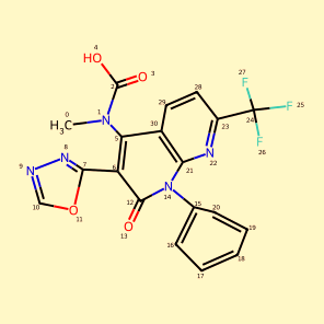 CN(C(=O)O)c1c(-c2nnco2)c(=O)n(-c2ccccc2)c2nc(C(F)(F)F)ccc12